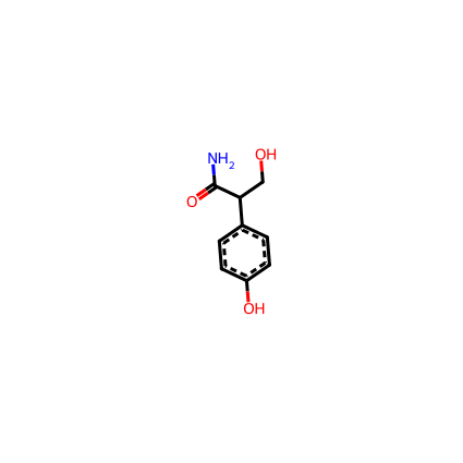 NC(=O)C(CO)c1ccc(O)cc1